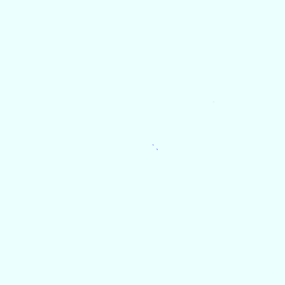 c1ccc(-c2ccc(N(c3cccc(-c4cccc5c4sc4ccccc45)c3)c3cccc(C4(c5ccccc5)c5ccccc5-c5ccccc5-c5ccccc54)c3)cc2)cc1